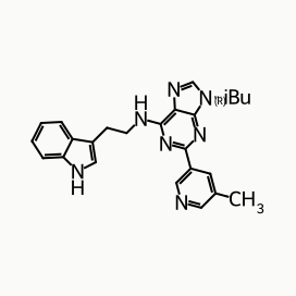 CC[C@@H](C)n1cnc2c(NCCc3c[nH]c4ccccc34)nc(-c3cncc(C)c3)nc21